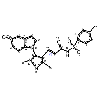 Cc1ccc(S(=O)(=O)NC(=O)/C=C/c2c(C)nn(C)c2-n2ccc3cc(Cl)ccc32)cc1